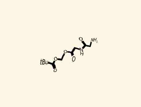 CC(C)(C)C(=O)OCOC(=O)CNC(=O)CN